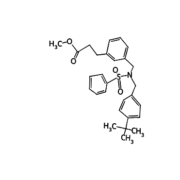 COC(=O)CCc1cccc(CN(Cc2ccc(C(C)(C)C)cc2)S(=O)(=O)c2ccccc2)c1